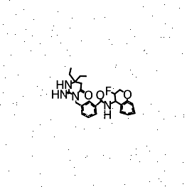 CCC1(CC)CC(=O)N(Cc2cccc(C(=O)NC3c4ccccc4OCC3F)c2)C(=N)N1